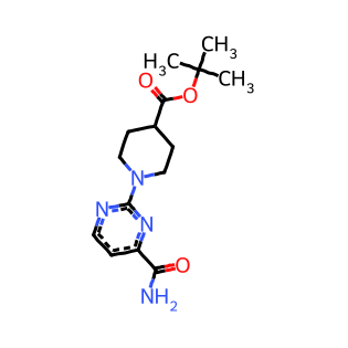 CC(C)(C)OC(=O)C1CCN(c2nccc(C(N)=O)n2)CC1